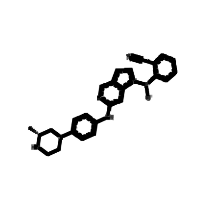 C[C@@H]1CN(c2ccc(Nc3cc4c(ccn4[S+]([O-])c4ccccc4C#N)cn3)cc2)CCN1